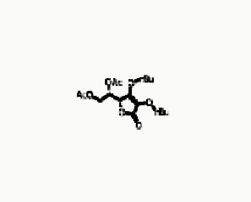 CCCCOC1=C(OCCCC)[C@@H]([C@H](COC(C)=O)OC(C)=O)OC1=O